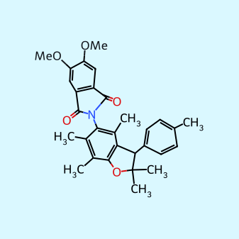 COc1cc2c(cc1OC)C(=O)N(c1c(C)c(C)c3c(c1C)C(c1ccc(C)cc1)C(C)(C)O3)C2=O